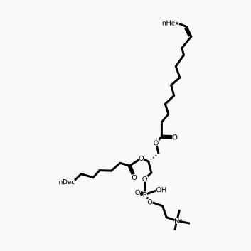 CCCCCC/C=C\CCCCCCCCCC(=O)OC[C@H](COP(=O)(O)OCC[N+](C)(C)C)OC(=O)CCCCCCCCCCCCCCC